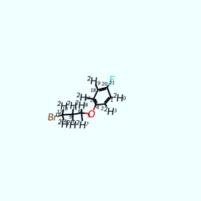 [2H]c1c([2H])c(OC([2H])([2H])C([2H])([2H])C([2H])([2H])Br)c([2H])c([2H])c1F